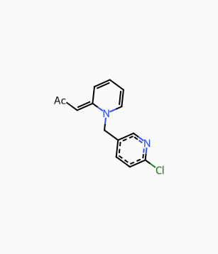 CC(=O)C=C1C=CC=CN1Cc1ccc(Cl)nc1